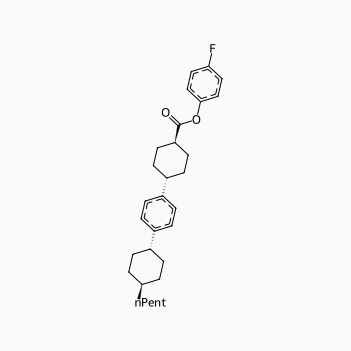 CCCCC[C@H]1CC[C@H](c2ccc([C@H]3CC[C@H](C(=O)Oc4ccc(F)cc4)CC3)cc2)CC1